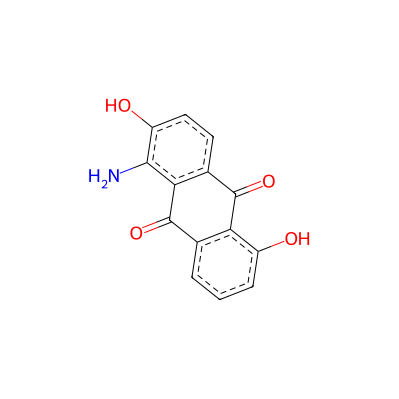 Nc1c(O)ccc2c1C(=O)c1cccc(O)c1C2=O